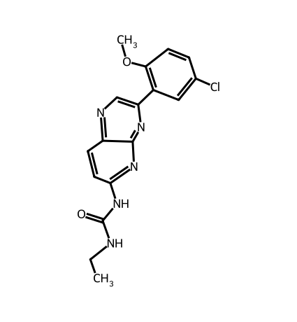 CCNC(=O)Nc1ccc2ncc(-c3cc(Cl)ccc3OC)nc2n1